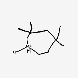 CC1(C)CC[NH+]([O-])C(C)(C)C1